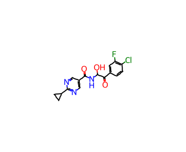 O=C(NC(O)C(=O)c1ccc(Cl)c(F)c1)c1cnc(C2CC2)nc1